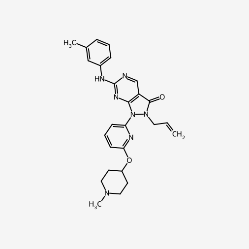 C=CCn1c(=O)c2cnc(Nc3cccc(C)c3)nc2n1-c1cccc(OC2CCN(C)CC2)n1